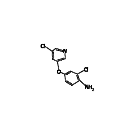 Nc1ccc(Oc2cncc(Cl)c2)cc1Cl